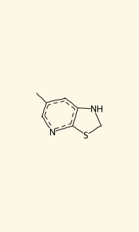 Cc1cnc2c(c1)NCS2